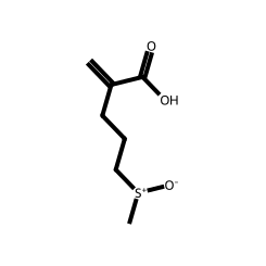 C=C(CCC[S+](C)[O-])C(=O)O